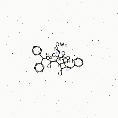 CO/N=C/[C@@]1(C)[C@H](C(=O)OC(c2ccccc2)c2ccccc2)N2C(=O)/C(=C/c3ccccn3)[C@H]2S1(=O)=O